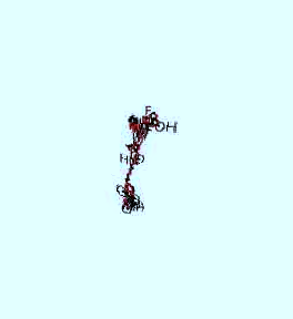 C#Cc1c(F)ccc2cc(O)cc(-c3ncc4c(N5CC6CCC(C5)N6)nc(OC[C@@]56CC[C@@H](COC(=O)NCCCCCCCCc7ccc8c(c7)C(=O)N(C7CCC(=O)NC7=O)C8=O)N5CC(=C)C6)nc4c3F)c12